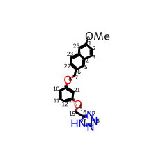 COc1ccc2cc(COc3cccc(OCc4nnn[nH]4)c3)ccc2c1